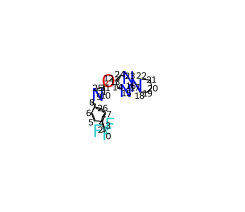 FC(F)(F)c1ccc(CN2CC(Oc3cnc(N4CCCCC4)nc3)C2)cc1